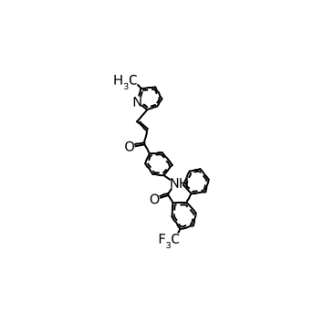 Cc1cccc(/C=C/C(=O)c2ccc(NC(=O)c3cc(C(F)(F)F)ccc3-c3ccccc3)cc2)n1